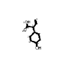 C=CC(C(=O)O)C1CCC(O)CC1